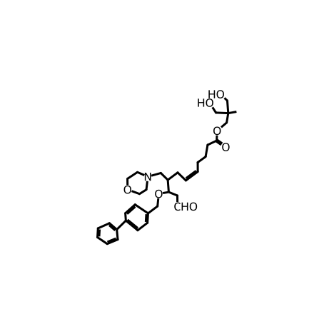 CC(CO)(CO)COC(=O)CCC/C=C\CC(CN1CCOCC1)C(CC=O)OCc1ccc(-c2ccccc2)cc1